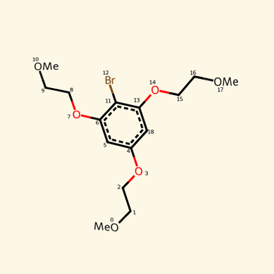 COCCOc1cc(OCCOC)c(Br)c(OCCOC)c1